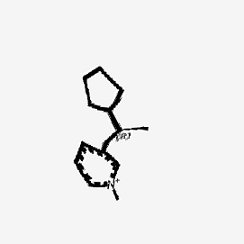 C[C@@H](c1ccc[n+](C)c1)C1CCCC1